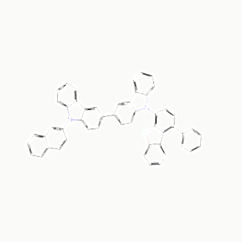 c1ccc(-c2ccc(-n3c4ccccc4c4cc(-c5ccc6c(c5)c5ccccc5n6-c5ccc6ccccc6c5)ccc43)c3oc4ccccc4c23)cc1